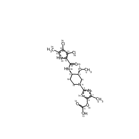 CO[C@H]1CN(c2nc(C)c(OC(=O)O)s2)CC[C@H]1NC(=O)c1[nH]c(C)c(Cl)c1Cl